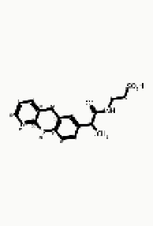 CC(C(=O)NCCS(=O)(=O)O)c1ccc2c(c1)Cc1cccnc1O2